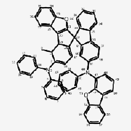 CC1C(N(c2ccccc2)c2ccccc2)=CC=C2C1c1c(oc3ccccc13)C21c2ccccc2-c2ccc(N(c3ccccc3)c3cccc4c3oc3ccccc34)cc21